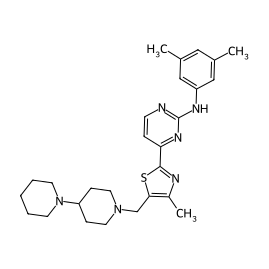 Cc1cc(C)cc(Nc2nccc(-c3nc(C)c(CN4CCC(N5CCCCC5)CC4)s3)n2)c1